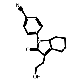 N#Cc1ccc(N2C(=O)C(CCO)=C3CCCCC32)cc1